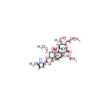 COC[C@@H]1[C@@H](O)[C@@H]2[C@H]3C=C[C@@H]4[C@@H](COC)C(=O)O[C@H]([C@H](O)COC)[C@H](C)/C=C(\C)[C@@]24O[C@H]3[C@@H]1OC(=O)c1ccc(C)[nH]1